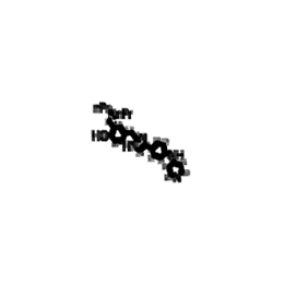 CCCN(CCC)Cc1cc(Cc2nc(-c3ccc(Nc4ccncc4)cc3)c[nH]2)ccc1O